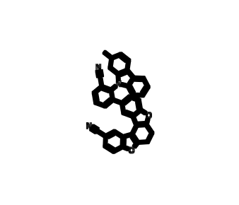 CC1C=Cc2c(n(-c3c(C#N)cccc3-c3ccc4oc5c(c4c3)-c3c(oc4ccc(C#N)cc34)CC5)c3ccccc23)C1